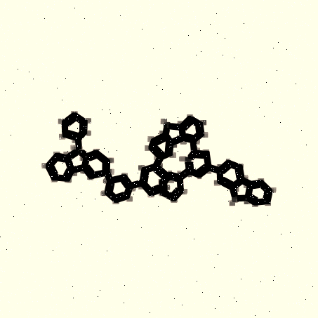 c1ccc(-c2cc(-c3ccc4c(c3)oc3ccccc34)cc(-c3cccc4oc5ccc(-c6cccc(-c7cccc(-c8ccc9c(c8)c8ccccc8n9-c8ccccc8)c7)c6)cc5c34)n2)cc1